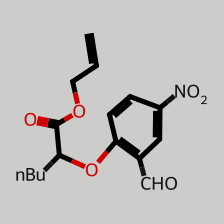 C=CCOC(=O)C(CCCC)Oc1ccc([N+](=O)[O-])cc1C=O